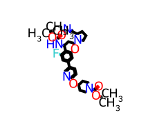 CC(C)OC(=O)N1CCC(Oc2ccc(-c3ccc(C(CC(=O)N4CCCC4C#N)NC(=O)OC(C)(C)C)c(F)c3)cn2)CC1